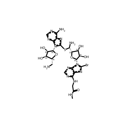 CNC(=O)CNc1ncnc2c1nc(Br)n2[C@@H]1O[C@H](C(N)Sc2nc3c(N)ncnc3n2[C@@H]2O[C@H](CN)[C@@H](O)[C@H]2O)[C@@H](O)[C@H]1O